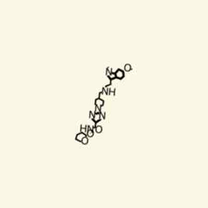 COc1ccc2c(CCNCC3CCN(c4ncc(C(=O)NOC5CCCCO5)cn4)CC3)cn(C)c2c1